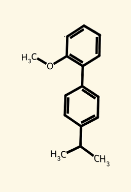 COc1[c]cccc1-c1ccc(C(C)C)cc1